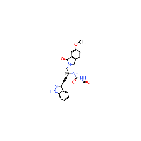 COc1ccc2c(c1)C(=O)N(C[C@@H](C#Cc1n[nH]c3ccccc13)NC(=O)NC=O)C2